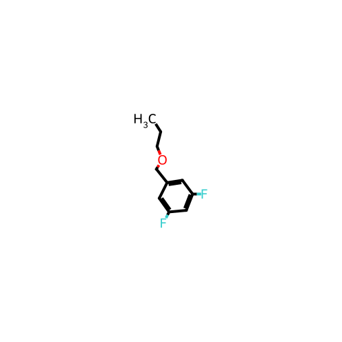 CCCOCc1cc(F)cc(F)c1